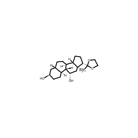 CC1([C@H]2CC[C@H]3[C@@H]4CC[C@H]5C[C@H](O)CC[C@@H]5[C@H]4[C@@H](O)C[C@]23C)OCCO1